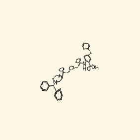 O=C(COCC(=O)N1CCN(C(c2ccccc2)c2ccccc2)CC1)Nc1ccc(Cc2ccccc2)cc1C(=O)O